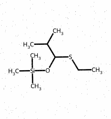 CCSC(O[Si](C)(C)C)C(C)C